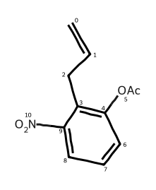 C=CCc1c(OC(C)=O)cccc1[N+](=O)[O-]